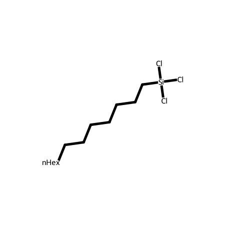 CCCCCCCCCCCCC[Si](Cl)(Cl)Cl